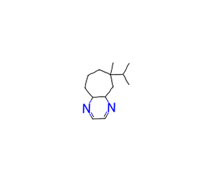 CC(C)C1(C)CCCC2N=CC=NC2C1